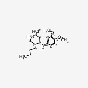 CCCC[C@H]1CNCC[C@@H]1Nc1ccc(OC)c(OC)c1.Cl